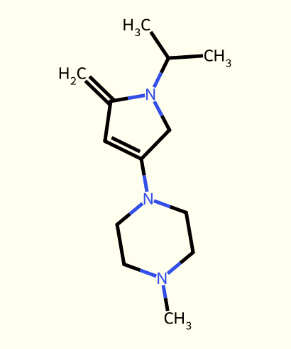 C=C1C=C(N2CCN(C)CC2)CN1C(C)C